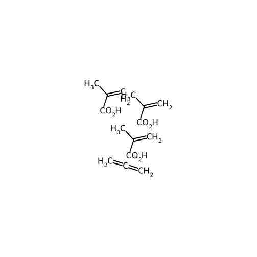 C=C(C)C(=O)O.C=C(C)C(=O)O.C=C(C)C(=O)O.C=C=C